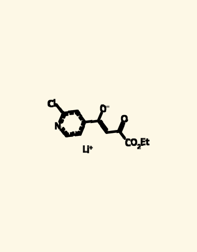 CCOC(=O)C(=O)C=C([O-])c1ccnc(Cl)c1.[Li+]